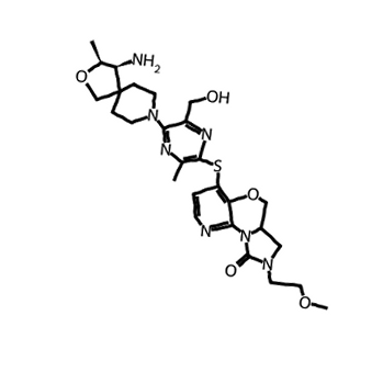 COCCN1CC2COc3c(Sc4nc(CO)c(N5CCC6(CC5)CO[C@@H](C)[C@H]6N)nc4C)ccnc3N2C1=O